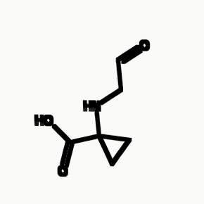 O=CCNC1(C(=O)O)CC1